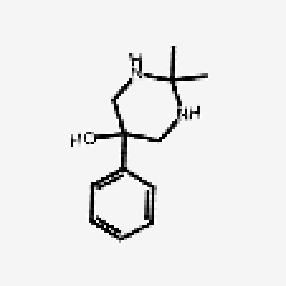 CC1(C)NCC(O)(c2ccccc2)CN1